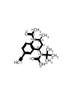 C#Cc1ccc2c(c1)[C@H](N(C(=O)O)C(C)(C)C)C[C@H](C)N2C(C)=O